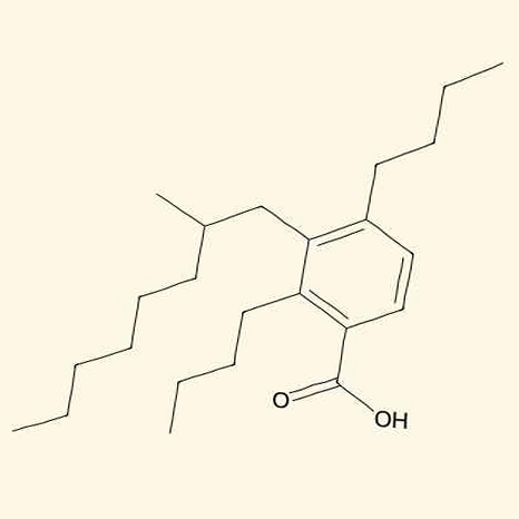 CCCCCCC(C)Cc1c(CCCC)ccc(C(=O)O)c1CCCC